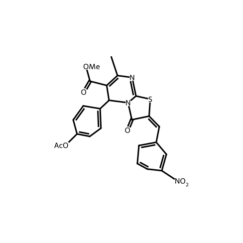 COC(=O)C1=C(C)N=c2s/c(=C/c3cccc([N+](=O)[O-])c3)c(=O)n2C1c1ccc(OC(C)=O)cc1